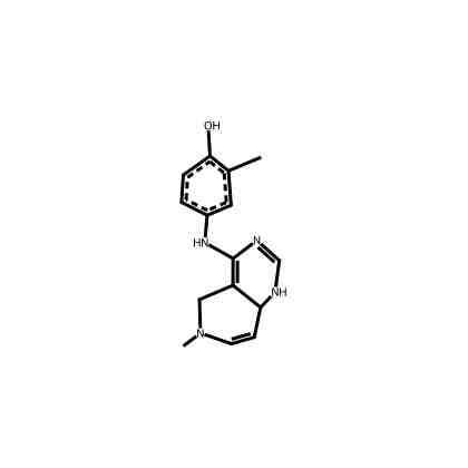 Cc1cc(NC2=C3CN(C)C=CC3NC=N2)ccc1O